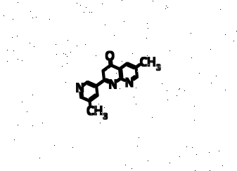 Cc1cncc(C2=Nc3ncc(C)cc3C(=O)C2)c1